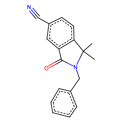 CC1(C)c2ccc(C#N)cc2C(=O)N1Cc1ccccc1